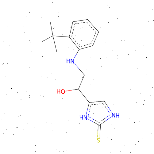 CC(C)(C)c1ccccc1NCC(O)c1c[nH]c(=S)[nH]1